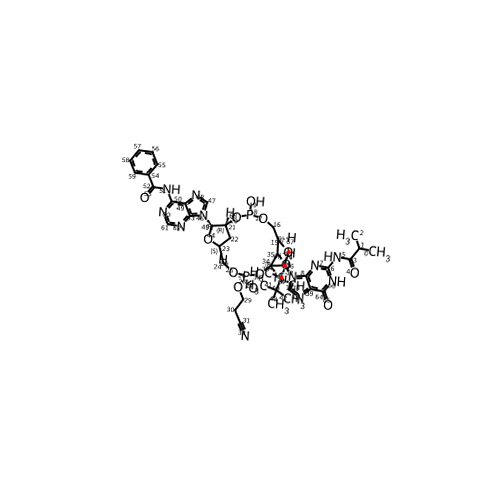 CC(C)C(=O)Nc1nc2c(ncn2[C@@H]2O[C@@H]3COP(O)O[C@@H]4C[C@@H](COP(=O)(OCCC#N)O[C@@H]2[C@@H]3O[Si](C)(C)C(C)(C)C)O[C@H]4n2cnc3c(NC(=O)c4ccccc4)ncnc32)c(=O)[nH]1